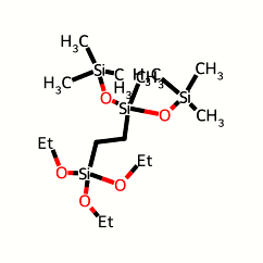 CCO[Si](CC[Si](C)(O[Si](C)(C)C)O[Si](C)(C)C)(OCC)OCC